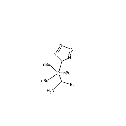 CCCCP(CCCC)(CCCC)(C(N)CC)C1N=NN=N1